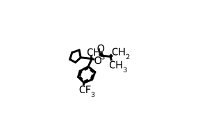 C=C(C)C(=O)OC(C)(c1ccc(C(F)(F)F)cc1)C1CCCC1